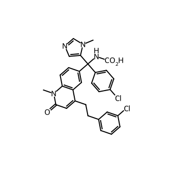 Cn1cncc1C(NC(=O)O)(c1ccc(Cl)cc1)c1ccc2c(c1)c(CCc1cccc(Cl)c1)cc(=O)n2C